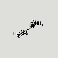 Nc1nc2cc(CCC3CCC(n4ccc5c(N)ncnc54)C3)cc(F)c2cc1Br